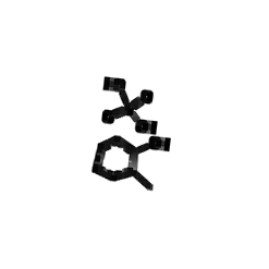 Cc1ccccc1O.O=S(=O)(O)O